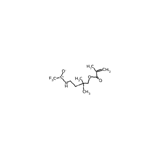 C=C(C)C(=O)OCC(C)(C)CCN[S+]([O-])C(F)(F)F